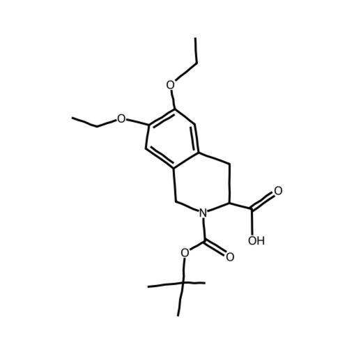 CCOc1cc2c(cc1OCC)CN(C(=O)OC(C)(C)C)C(C(=O)O)C2